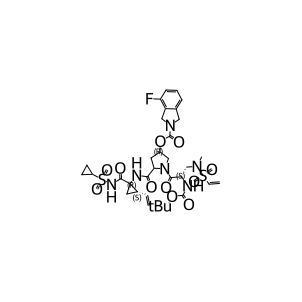 C=C[C@@H]1C[C@]1(NC(=O)C1C[C@@H](OC(=O)N2Cc3cccc(F)c3C2)CN1C(=O)[C@H](CN(C)S(=O)(=O)C=C)NC(=O)OC(C)(C)C)C(=O)NS(=O)(=O)C1CC1